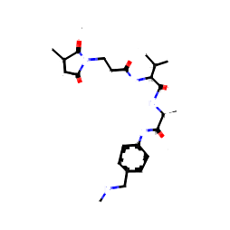 CNCc1ccc(NC(=O)[C@H](C)NC(=O)C(NC(=O)CCN2C(=O)CC(C)C2=O)C(C)C)cc1